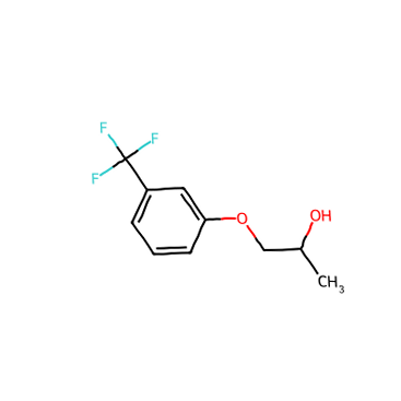 CC(O)COc1cccc(C(F)(F)F)c1